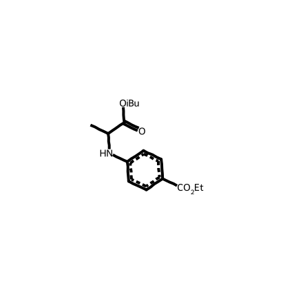 CCOC(=O)c1ccc(NC(C)C(=O)OCC(C)C)cc1